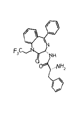 N[C@H](Cc1ccccc1)C(=O)N[C@H]1N=C(c2ccccc2)c2ccccc2N(CC(F)(F)F)C1=O